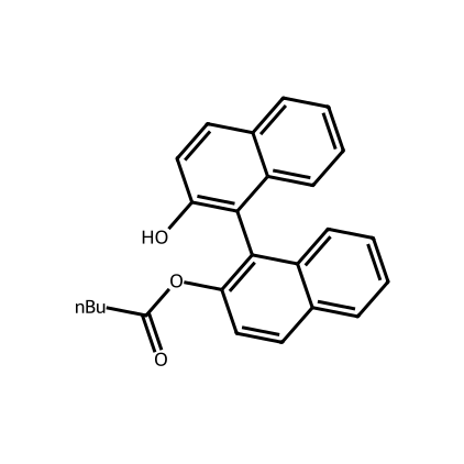 CCCCC(=O)Oc1ccc2ccccc2c1-c1c(O)ccc2ccccc12